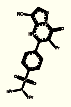 CCCN(CCC)S(=O)(=O)c1ccc(-c2[nH]c3c(C#N)cnn3c(=O)c2C(C)C)cc1